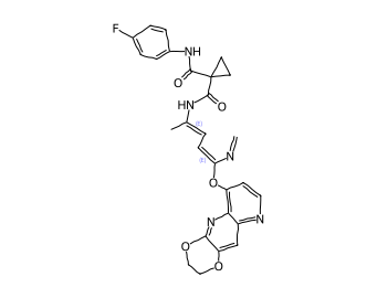 C=N/C(=C\C=C(/C)NC(=O)C1(C(=O)Nc2ccc(F)cc2)CC1)Oc1ccnc2cc3c(nc12)OCCO3